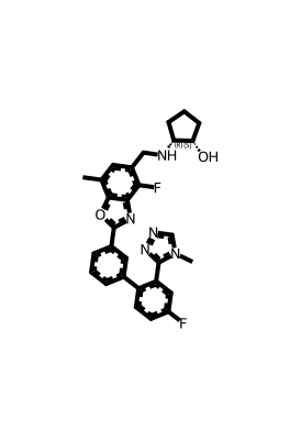 Cc1cc(CN[C@@H]2CCC[C@@H]2O)c(F)c2nc(-c3cccc(-c4ccc(F)cc4-c4nncn4C)c3)oc12